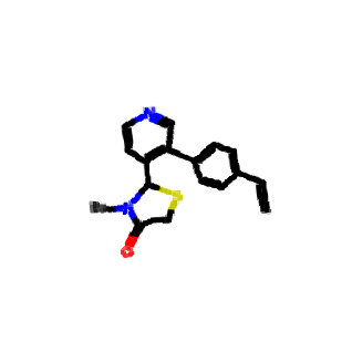 C=Cc1ccc(-c2cnccc2C2SCC(=O)N2C(C)CC)cc1